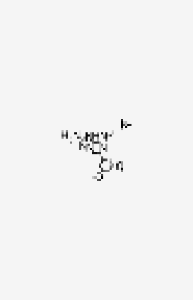 COc1cc(OC)cc(-c2cn3nc(N)nc3c(NCCCN(C)C)n2)c1